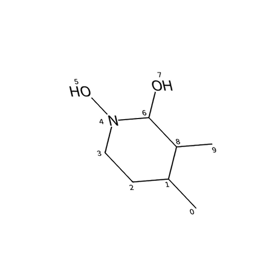 CC1CCN(O)C(O)C1C